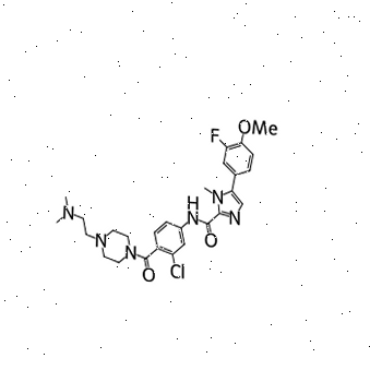 COc1ccc(-c2cnc(C(=O)Nc3ccc(C(=O)N4CCN(CCN(C)C)CC4)c(Cl)c3)n2C)cc1F